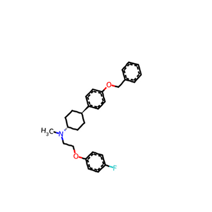 CN(CCOc1ccc(F)cc1)[C@H]1CC[C@H](c2ccc(OCc3ccccc3)cc2)CC1